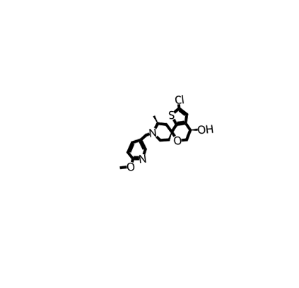 COc1ccc(CN2CC[C@]3(C[C@@H]2C)OC[C@H](O)c2cc(Cl)sc23)cn1